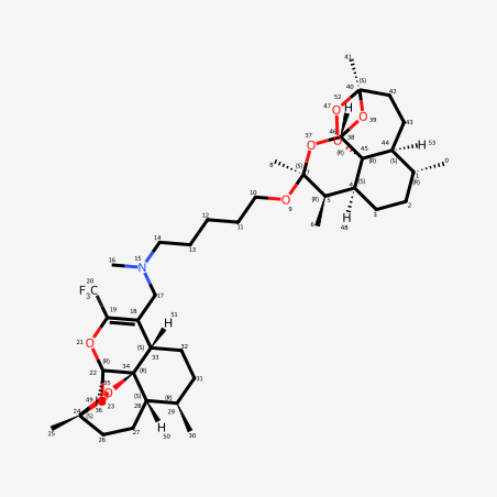 C[C@@H]1CC[C@H]2[C@@H](C)[C@@](C)(OCCCCCN(C)CC3=C(C(F)(F)F)O[C@@H]4O[C@]5(C)CC[C@H]6[C@H](C)CC[C@@H]3[C@@]46OO5)O[C@@H]3O[C@]4(C)CC[C@@H]1[C@]32OO4